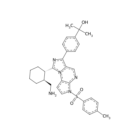 Cc1ccc(S(=O)(=O)n2ccc3c2ncc2c(-c4ccc(C(C)(C)O)cc4)nc([C@H]4CCCC[C@@H]4CN)n23)cc1